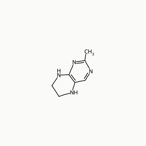 Cc1ncc2c(n1)NCCN2